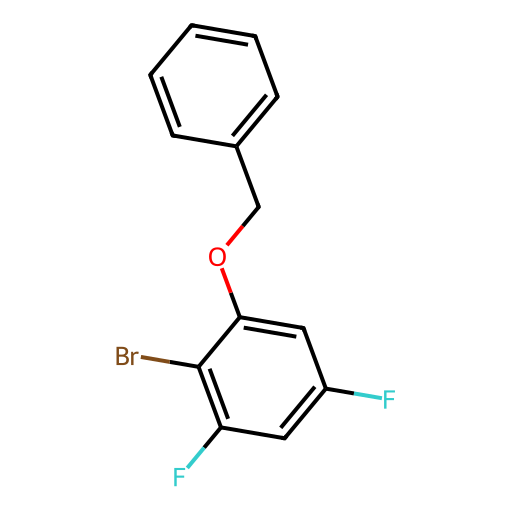 Fc1cc(F)c(Br)c(OCc2ccccc2)c1